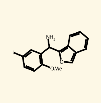 COc1ccc(I)cc1C(N)c1occ2ccccc12